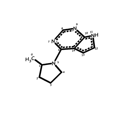 CC1CCCN1c1ncnc2[nH]ccc12